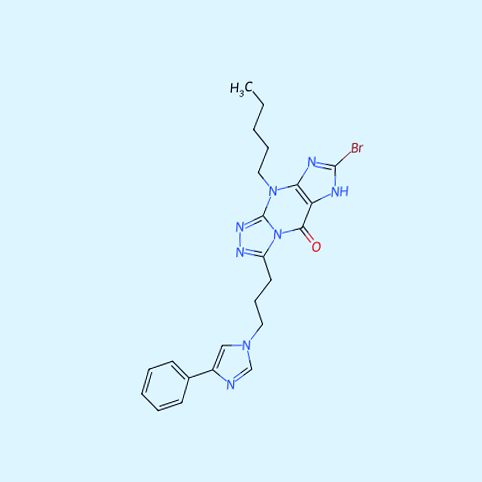 CCCCCn1c2nc(Br)[nH]c2c(=O)n2c(CCCn3cnc(-c4ccccc4)c3)nnc12